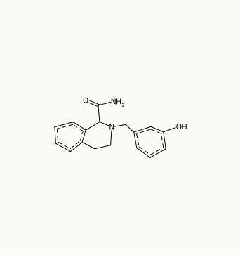 NC(=O)C1c2cc[c]cc2CCN1Cc1cccc(O)c1